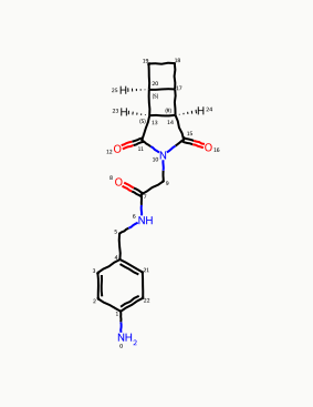 Nc1ccc(CNC(=O)CN2C(=O)[C@@H]3[C@H](C2=O)C2CC[C@@H]23)cc1